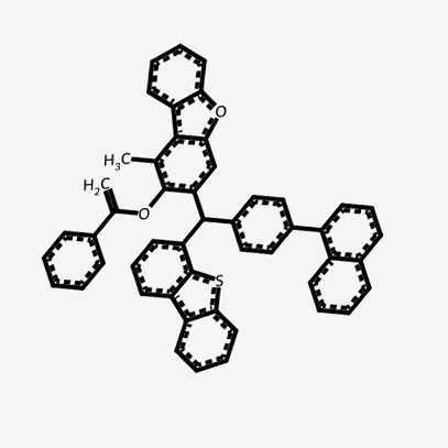 C=C(Oc1c(C(c2ccc(-c3cccc4ccccc34)cc2)c2cccc3c2sc2ccccc23)cc2oc3ccccc3c2c1C)c1ccccc1